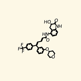 O=C(/C=C/C=C(/c1ccc(C(F)(F)F)cc1)c1cccc(OC2CCOCC2)c1)Nc1cccc2c1CC(O)C(=O)N2